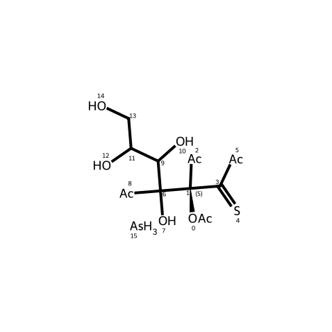 CC(=O)O[C@@](C(C)=O)(C(=S)C(C)=O)C(O)(C(C)=O)C(O)C(O)CO.[AsH3]